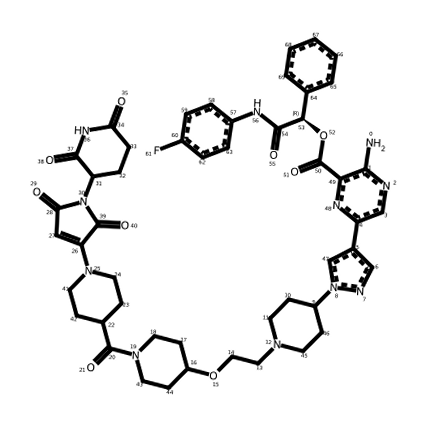 Nc1ncc(-c2cnn(C3CCN(CCOC4CCN(C(=O)C5CCN(C6=CC(=O)N(C7CCC(=O)NC7=O)C6=O)CC5)CC4)CC3)c2)nc1C(=O)O[C@@H](C(=O)Nc1ccc(F)cc1)c1ccccc1